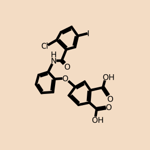 O=C(Nc1ccccc1Oc1ccc(C(=O)O)c(C(=O)O)c1)c1cc(I)ccc1Cl